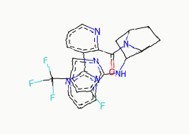 O=C(c1ncccc1-c1ncccn1)N1C2CCC1C(Nc1ncc(C(F)(F)F)cc1F)C2